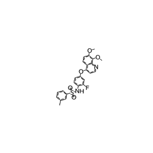 COc1ccc2c(Oc3ccc(NS(=O)(=O)c4cccc(C)c4)c(F)c3)ccnc2c1OC